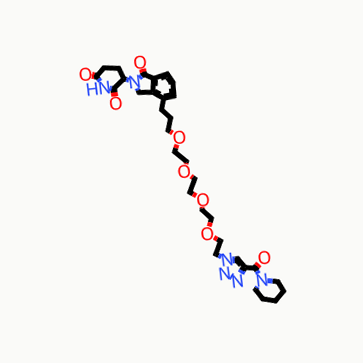 O=C1CCC(N2Cc3c(CCCOCCOCCOCCOCCn4cc(C(=O)N5CCCCC5)nn4)cccc3C2=O)C(=O)N1